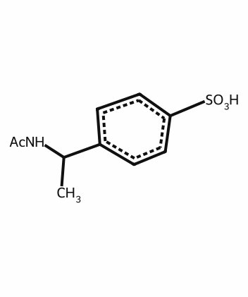 CC(=O)NC(C)c1ccc(S(=O)(=O)O)cc1